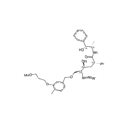 COCCCOc1cc(COC[C@H](N=[N+]=[N-])[C@@H](O)C[C@H](C(=O)N[C@@H](C)[C@H](O)c2ccccc2)C(C)C)ccc1C